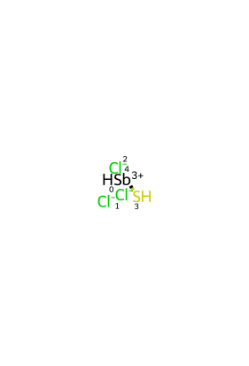 [Cl-].[Cl-].[Cl-].[SH][SbH+3]